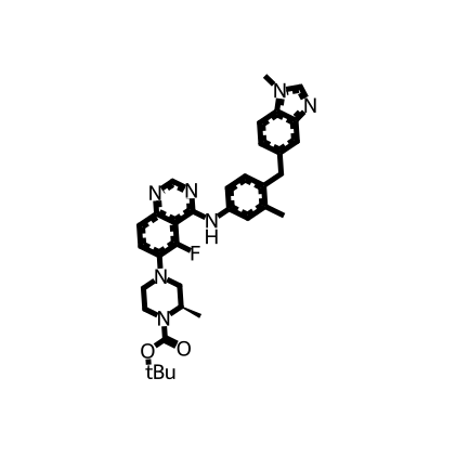 Cc1cc(Nc2ncnc3ccc(N4CCN(C(=O)OC(C)(C)C)[C@H](C)C4)c(F)c23)ccc1Cc1ccc2c(c1)ncn2C